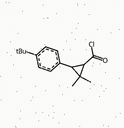 CC(C)(C)c1ccc(C2C(C(=O)Cl)C2(C)C)cc1